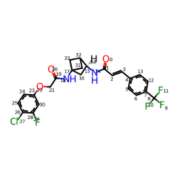 O=C(/C=C/c1ccc(C(F)(F)F)cc1)N[C@H]1CC2(NC(=O)COc3ccc(Cl)c(F)c3)CC1C2